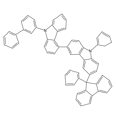 C1=CCCC(n2c3ccc(-c4cccc5c4c4ccccc4n5-c4cccc(-c5ccccc5)c4)cc3c3cc(C4(c5ccccc5)c5ccccc5-c5ccccc54)ccc32)=C1